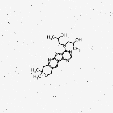 CC(O)CN(CC(C)O)c1ncnc2c1sc1nc3c(cc12)COC(C)(C)C3